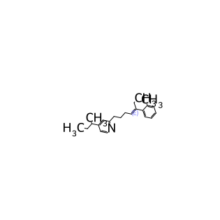 CC/C(=C\CCCc1cc(C(C)CC)ccn1)c1ccccc1C